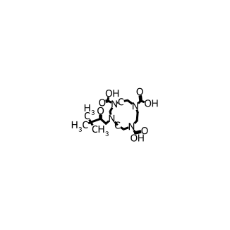 CC(C)(C)C(=O)CN1CCN(C(=O)O)CCN(C(=O)O)CCN(C(=O)O)C1